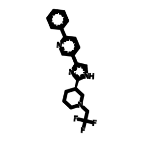 FC(F)(F)CN1CCC[C@@H](c2nc(-c3ccc(-c4ccccc4)nc3)c[nH]2)C1